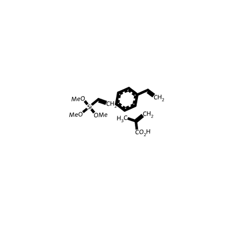 C=C(C)C(=O)O.C=C[Si](OC)(OC)OC.C=Cc1ccccc1